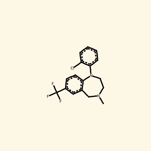 CN1CCN(c2ccccc2Cl)c2ccc(C(F)(F)F)cc2C1